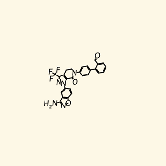 Nc1noc2ccc(-n3nc(C(F)(F)F)c4c3C(=O)N(c3ccc(-c5ccccc5C=O)cc3)CC4)cc12